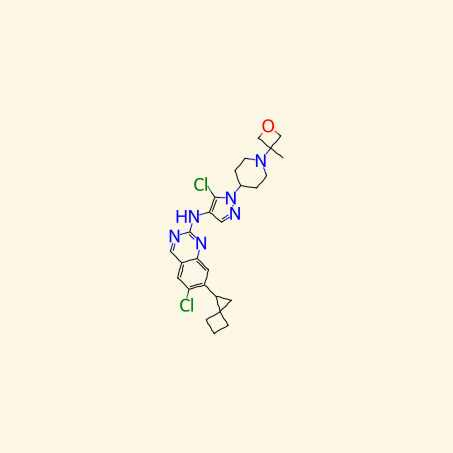 CC1(N2CCC(n3ncc(Nc4ncc5cc(Cl)c(C6CC67CCC7)cc5n4)c3Cl)CC2)COC1